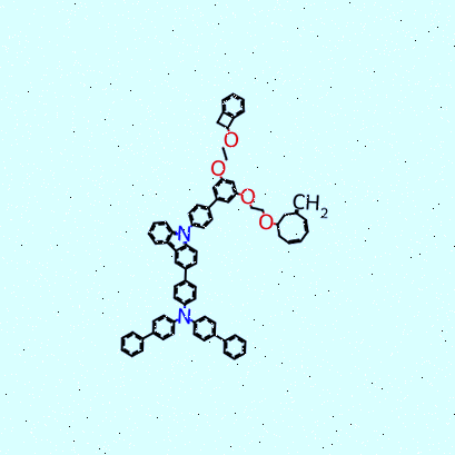 C=C1/C=C\C=C/CC(OCCOc2cc(OCCOC3Cc4ccccc43)cc(-c3ccc(-n4c5ccccc5c5cc(-c6ccc(N(c7ccc(-c8ccccc8)cc7)c7ccc(-c8ccccc8)cc7)cc6)ccc54)cc3)c2)C1